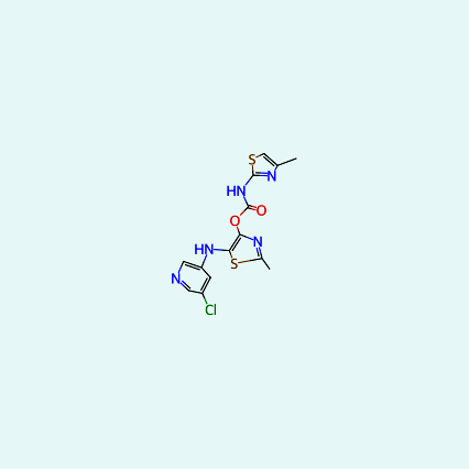 Cc1csc(NC(=O)Oc2nc(C)sc2Nc2cncc(Cl)c2)n1